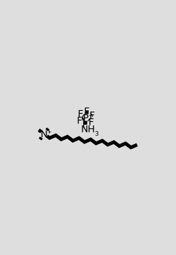 CCCCCCCCCCCCCCCC[N+](C)(C)C.F[P-](F)(F)(F)(F)F.N